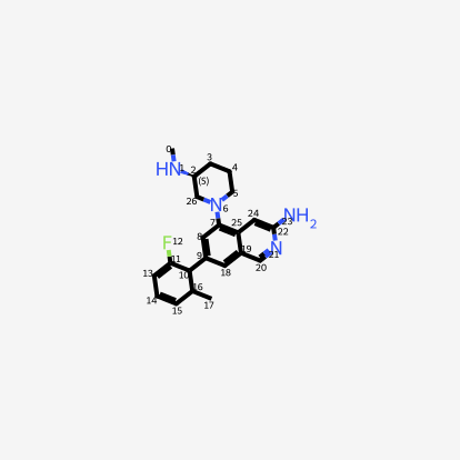 CN[C@H]1CCCN(c2cc(C3C(F)=CC=CC3C)cc3cnc(N)cc23)C1